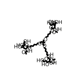 CC(=O)NC1CC(O)(CO)C(CO)O[C@H]1OCCCCCOCC(C)(COCCCCCO[C@@H]1OC(CO)[C@H](O)C(O)C1NC(C)=O)COCCCCCO[C@@H]1OC(CO)C2(O)C(O)C2C1NC(C)=O